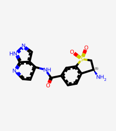 N[C@@H]1CS(=O)(=O)c2cc(C(=O)Nc3ccnc4[nH]ncc34)ccc21